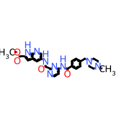 COC(=O)c1cc2cc(NC(=O)c3nccc(NC(=O)c4ccc(CN5CCN(C)CC5)cc4)n3)cnc2[nH]1